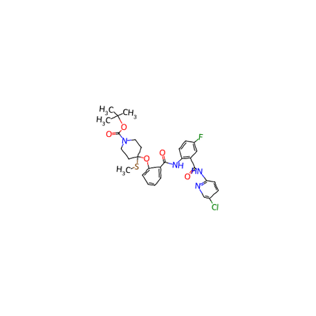 CSC1(Oc2ccccc2C(=O)Nc2ccc(F)cc2C(=O)Nc2ccc(Cl)cn2)CCN(C(=O)OC(C)(C)C)CC1